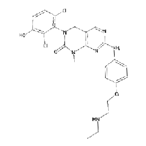 CCNCCOc1ccc(Nc2ncc3c(n2)N(C)C(=O)N(c2c(Cl)ccc(O)c2Cl)C3)cc1